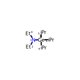 CC[N](CC)[Ge]([CH](C)C)([CH](C)C)[CH](C)C